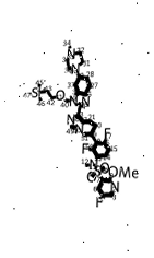 COc1ncc(F)cc1S(=O)(=O)N(C)c1ccc(F)c(-c2ccc3c(-c4nc5ccc(N6CCN(C)CC6)cc5n4COCC[Si](C)(C)C)ncn3c2)c1F